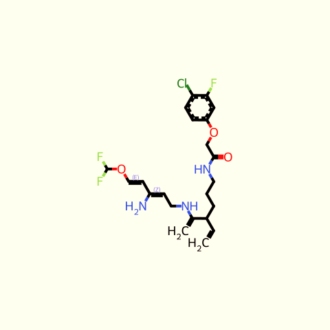 C=CC(CCCNC(=O)COc1ccc(Cl)c(F)c1)C(=C)NC/C=C(N)/C=C/OC(F)F